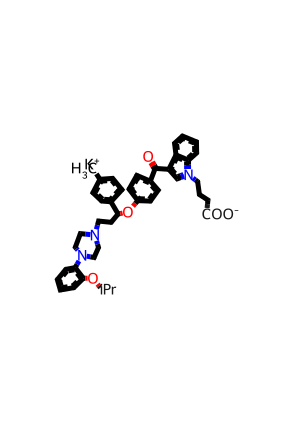 Cc1ccc(C(CCN2CCN(c3ccccc3OC(C)C)CC2)Oc2ccc(C(=O)c3cn(CCCC(=O)[O-])c4ccccc34)cc2)cc1.[K+]